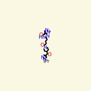 CC(C)n1cc(C(=O)C2CCN(C(=O)CCCc3nc4c(cnn4C)c(=O)[nH]3)CC2)cn1